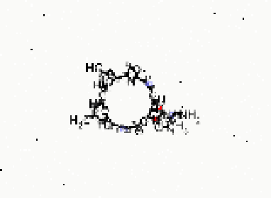 C=C1C[C@@H]2C[C@@H]3C[C@@H](O)C[C@@H](O3)c3coc(n3)/C=C/C[C@H]3O[C@@H](/C(C)=C/N)[C@H](C)[C@@H](OC(=O)/C=C\C[C@@H](C1)O2)[C@H]3C